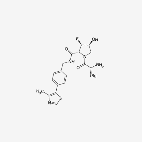 Cc1ncsc1-c1ccc(CNC(=O)[C@@H]2[C@@H](F)[C@@H](O)CN2C(=O)[C@@H](N)C(C)(C)C)cc1